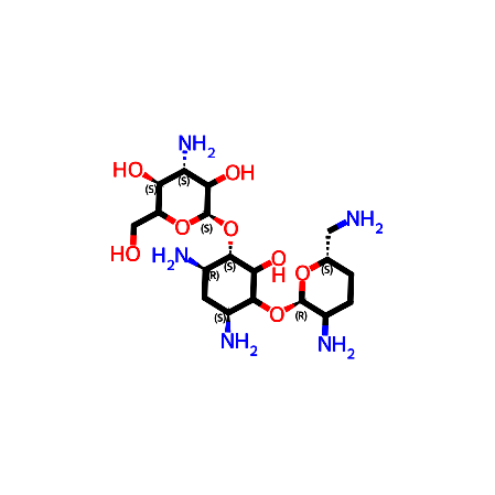 NC[C@@H]1CCC(N)[C@@H](OC2C(O)[C@@H](O[C@H]3OC(CO)[C@@H](O)[C@H](N)C3O)[C@H](N)C[C@@H]2N)O1